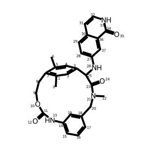 Cc1cc2cc(C)c1CCOC(=O)Nc1cccc(c1)CN(C)C(=O)C2Nc1ccc2cc[nH]c(=O)c2c1